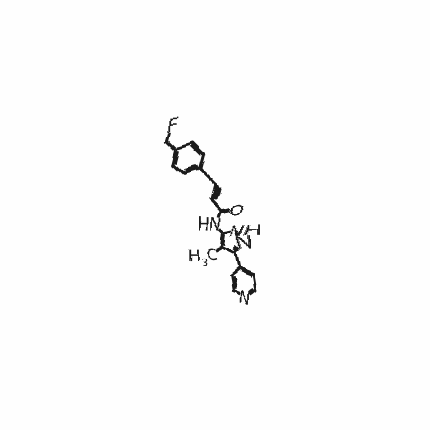 Cc1c(-c2ccncc2)n[nH]c1NC(=O)C=Cc1ccc(CF)cc1